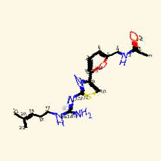 CC(=O)NCc1ccc(-c2csc(/N=C(\N)NCCC=C(C)C)n2)o1